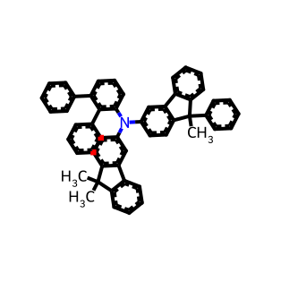 CC1(C)c2ccccc2-c2cc(N(c3ccc4c(c3)-c3ccccc3C4(C)c3ccccc3)c3cccc(-c4ccccc4)c3-c3ccccc3)ccc21